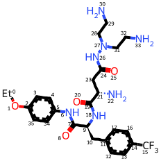 CCOc1ccc(NC(=O)[C@H](Cc2ccc(C(F)(F)F)cc2)NC(=O)[C@@H](N)CC(=O)NN(CCN)CCN)cc1